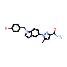 Cc1cc(C(N)=O)nn1-c1ccc2c(ccn2Cc2ccc(Br)cc2)c1